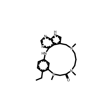 CCc1ccc2cc1N(C)CC(=O)N(C)CCCN(C)Cc1c[nH]c3ncnc(c13)N2